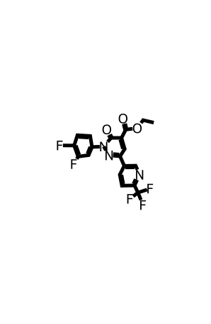 CCOC(=O)c1cc(-c2ccc(C(F)(F)F)nc2)nn(-c2ccc(F)c(F)c2)c1=O